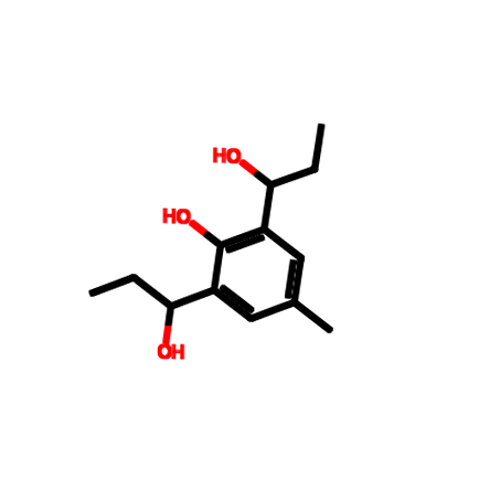 CCC(O)c1cc(C)cc(C(O)CC)c1O